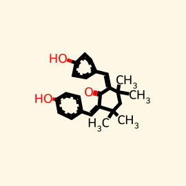 CC1(C)CC(C)(C)C(=Cc2ccc(O)cc2)C(=O)C1=Cc1ccc(O)cc1